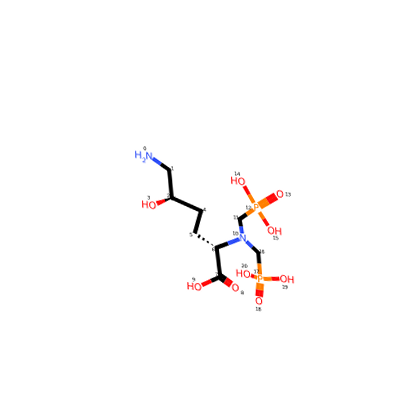 NC[C@H](O)CC[C@@H](C(=O)O)N(CP(=O)(O)O)CP(=O)(O)O